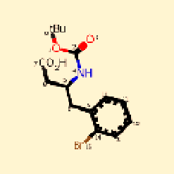 CC(C)(C)OC(=O)NC(CC(=O)O)Cc1ccccc1Br